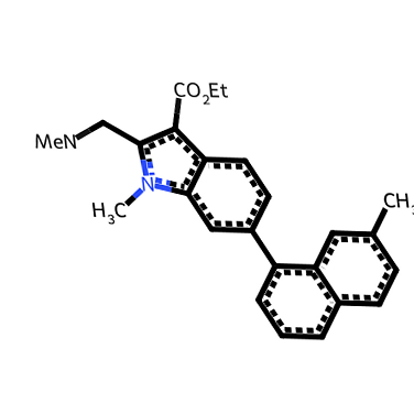 CCOC(=O)c1c(CNC)n(C)c2cc(-c3cccc4ccc(C)cc34)ccc12